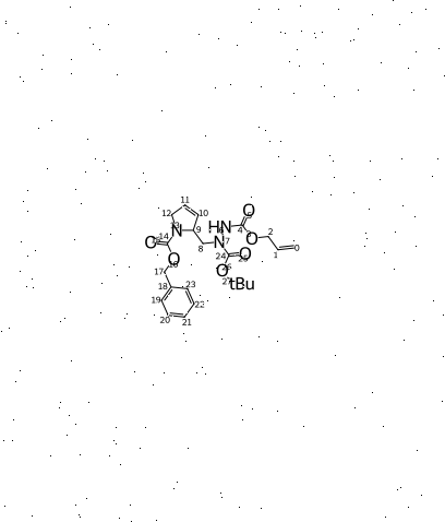 C=CCOC(=O)NN(CC1C=CCN1C(=O)OCc1ccccc1)C(=O)OC(C)(C)C